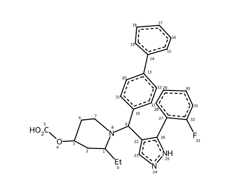 CCC1CC(OC(=O)O)CCN1C(c1ccc(-c2ccccc2)cc1)c1cn[nH]c1-c1ccccc1F